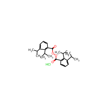 CC(C)c1cccc(C(=O)OOC(=O)c2cccc(C(C)C)c2C(C)C)c1C(C)C.Cl